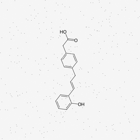 O=C(O)Cc1ccc(CC=Cc2ccccc2O)cc1